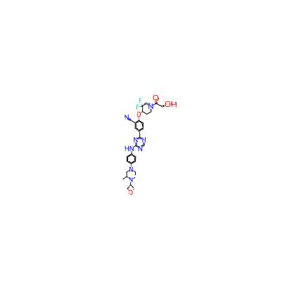 CC1CN(c2ccc(Nc3ncnc(-c4ccc(OC5CCN(C(=O)CO)CC5(F)F)c(C#N)c4)n3)cc2)CCN1C1COC1